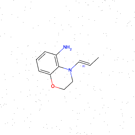 C/C=C/N1CCOc2cccc(N)c21